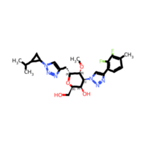 CO[C@@H]1[C@@H](n2cc(-c3ccc(C)c(F)c3F)nn2)[C@@H](O)[C@@H](CO)O[C@@H]1Cc1cn(C2CC2C(C)C)nn1